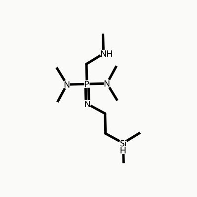 CNCP(=NCC[SiH](C)C)(N(C)C)N(C)C